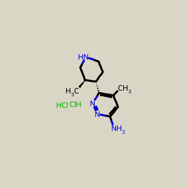 Cc1cc(N)nnc1[C@H]1CCNC[C@@H]1C.Cl.Cl